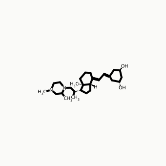 CC(CN1CCN(C)CC1C)[C@H]1CC[C@H]2C(=CC=C3C[C@@H](O)C[C@H](O)C3)CCC[C@]12C